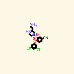 N#Cc1ccc(Oc2cc(Cl)cc(Cl)c2)c(S(=O)(=O)N2CCNC(CCN)C2)c1